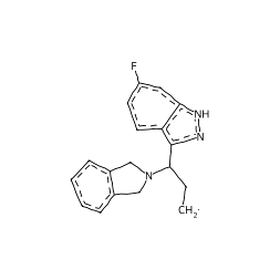 [CH2]CC(c1n[nH]c2cc(F)ccc12)N1Cc2ccccc2C1